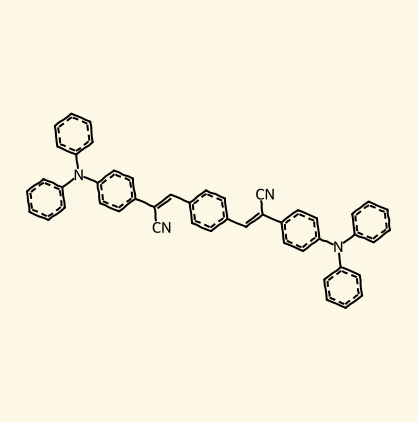 N#C/C(=C\c1ccc(/C=C(\C#N)c2ccc(N(c3ccccc3)c3ccccc3)cc2)cc1)c1ccc(N(c2ccccc2)c2ccccc2)cc1